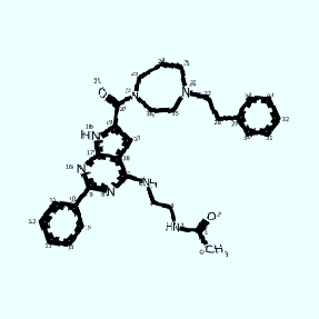 CC(=O)NCCNc1nc(-c2ccccc2)nc2[nH]c(C(=O)N3CCCN(CCc4ccccc4)CC3)cc12